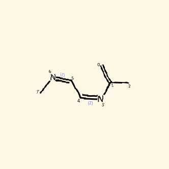 C=C(C)/N=C\C=N/C